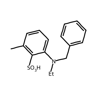 CCN(Cc1ccccc1)c1cccc(C)c1S(=O)(=O)O